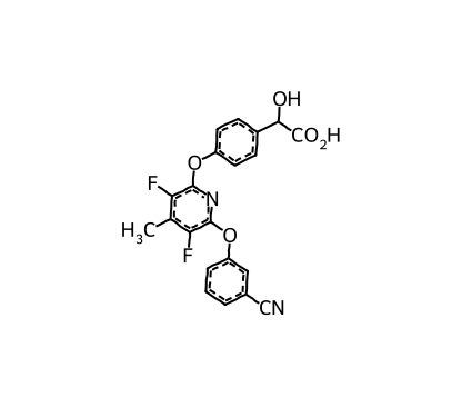 Cc1c(F)c(Oc2ccc(C(O)C(=O)O)cc2)nc(Oc2cccc(C#N)c2)c1F